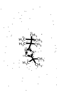 CC(C)(C)c1nc(C(C)(C)C(C)(C)C)no1